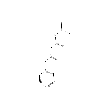 CC(C)NC(=S)NC(=O)Cc1ccccc1